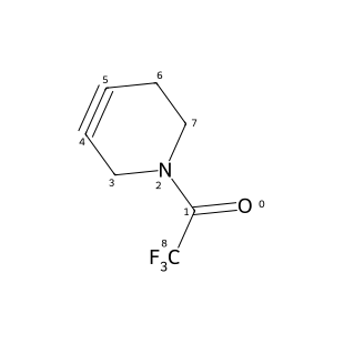 O=C(N1CC#CCC1)C(F)(F)F